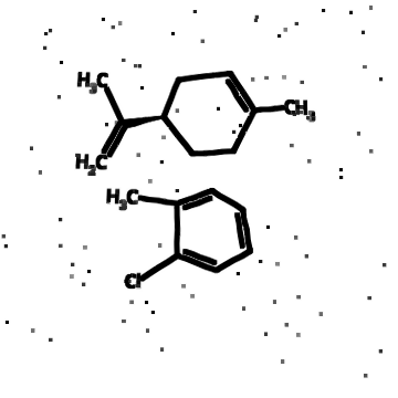 C=C(C)[C@H]1CC=C(C)CC1.Cc1ccccc1Cl